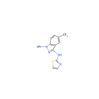 [CH2]CCn1nc(Nc2nccs2)c2cc(C(F)(F)F)ccc21